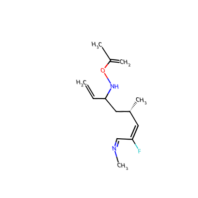 C=CC(C[C@H](C)/C=C(F)\C=N/C)NOC(=C)C